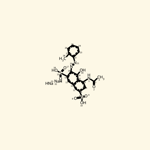 CC(=O)Nc1cc(S(=O)(=O)O)cc2cc(S(=O)(=O)O)c(N=Nc3ccccc3C)c(O)c12.[NaH].[NaH]